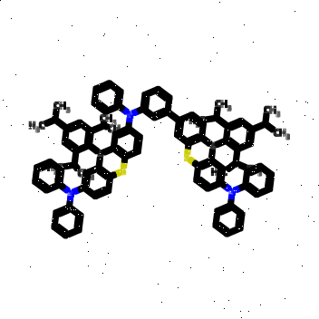 CC(C)c1cc(C(C)C)c(B2c3ccc(-c4cccc(N(c5ccccc5)c5ccc6c(c5)B(c5c(C(C)C)cc(C(C)C)cc5C(C)C)c5cc(N(c7ccccc7)c7ccccc7)ccc5S6)c4)cc3Sc3ccc(N(c4ccccc4)c4ccccc4)cc32)c(C(C)C)c1